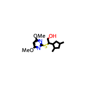 COc1cc(OC)nc(SC(CO)C2CC(C)CC2C)n1